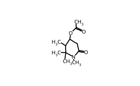 CC(=O)OC1CC(=O)N(C)C(C)(C)C1C